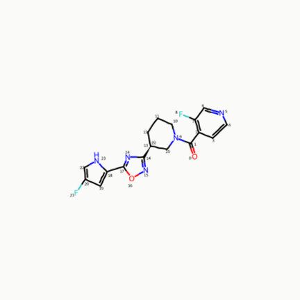 O=C(c1ccncc1F)N1CCC[C@H](c2noc(-c3cc(F)c[nH]3)n2)C1